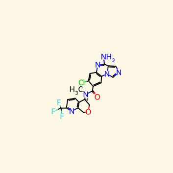 CN(C(=O)c1cc2c(cc1Cl)nc(N)c1cncn12)[C@@H]1COCc2nc(C(F)(F)F)ccc21